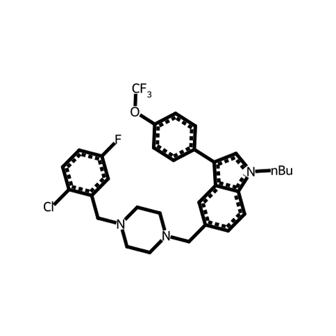 CCCCn1cc(-c2ccc(OC(F)(F)F)cc2)c2cc(CN3CCN(Cc4cc(F)ccc4Cl)CC3)ccc21